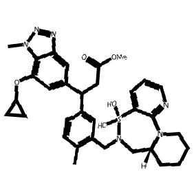 COC(=O)CC(c1ccc(C)c(CN2C[C@H]3CCCCN3c3ncccc3S2(O)O)c1)c1cc(OC2CC2)c2c(c1)nnn2C